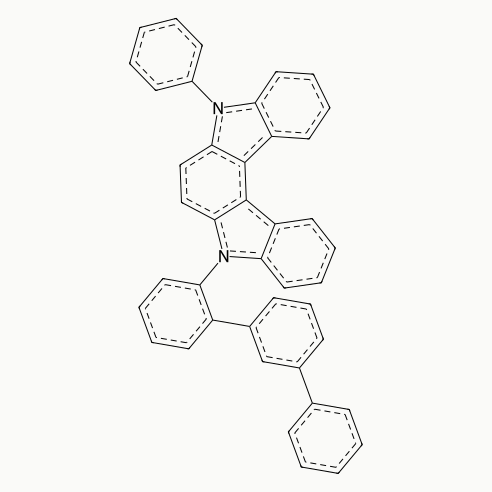 c1ccc(-c2cccc(-c3ccccc3-n3c4ccccc4c4c5c6ccccc6n(-c6ccccc6)c5ccc43)c2)cc1